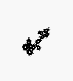 c1ccc(N(c2ccc(-c3ccc([Si](c4ccccc4)(c4ccccc4)c4ccccc4)cc3)cc2)c2ccc3c(c2)-c2ccccc2C3(c2ccccc2)c2ccccc2)cc1